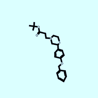 CC(C)(C)OC(=O)CCN1CCSC(c2ccc(OCc3ccccc3)cc2)C1